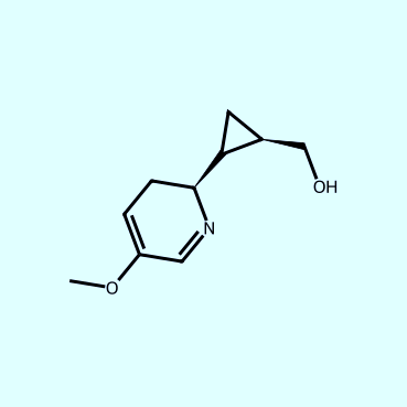 COC1=CC[C@@H](C2C[C@H]2CO)N=C1